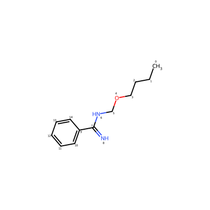 CCCCOCNC(=N)c1ccccc1